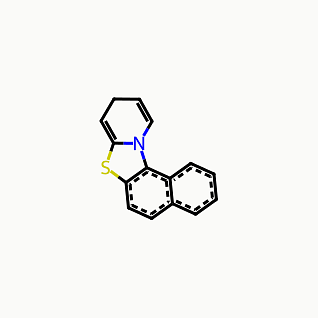 C1=CN2C(=CC1)Sc1ccc3ccccc3c12